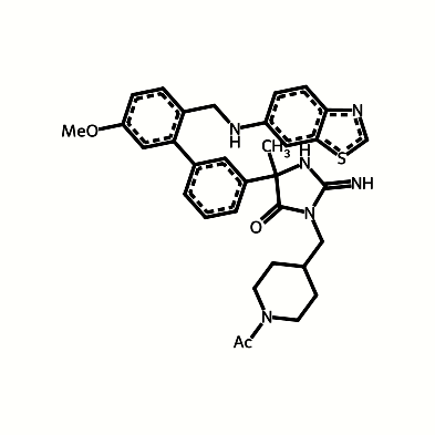 COc1ccc(CNc2ccc3ncsc3c2)c(-c2cccc(C3(C)NC(=N)N(CC4CCN(C(C)=O)CC4)C3=O)c2)c1